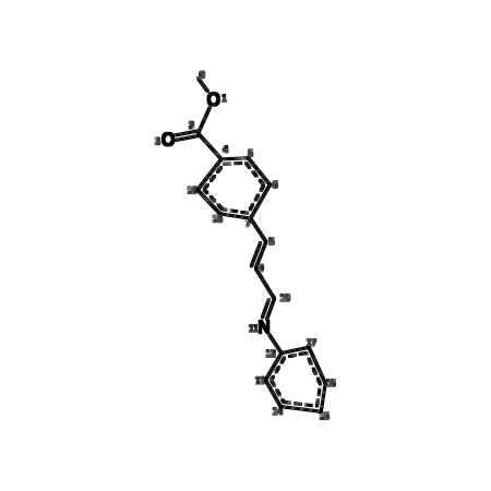 COC(=O)c1ccc(/C=C/C=N/c2ccccc2)cc1